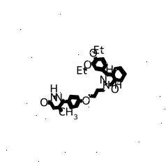 CCOc1ccc(C2=NN(CCCCOc3ccc(C4=NNC(=O)CC4C)cc3)C(=O)[C@@H]3CC=CC[C@H]23)cc1OCC